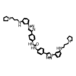 O=C(Nc1ccc(-c2cn(-c3cccc(NCCCN4CCCC4)c3)nn2)cc1)Nc1ccc(-c2cn(-c3cccc(NCCCN4CCCC4)c3)nn2)cc1